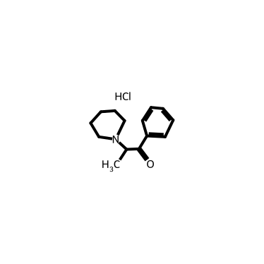 CC(C(=O)c1ccccc1)N1CCCCC1.Cl